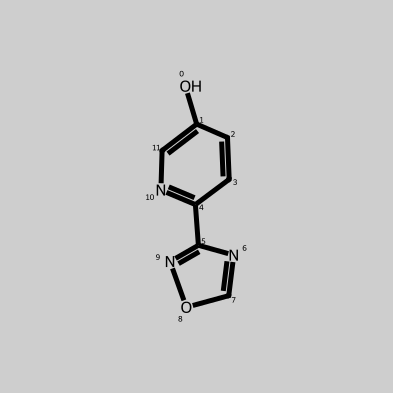 Oc1ccc(-c2ncon2)nc1